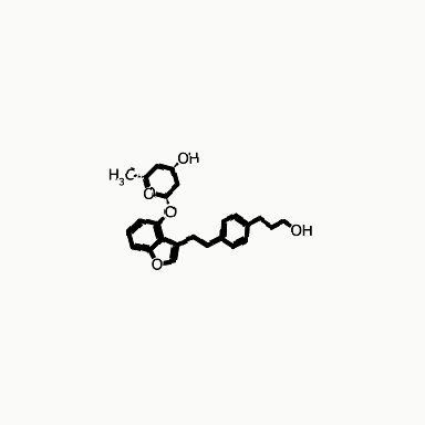 C[C@@H]1C[C@H](O)C[C@H](Oc2cccc3occ(CCc4ccc(CCCO)cc4)c23)O1